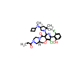 C=CC(=O)N1CCN2C(=O)c3c(N4CC(N(C)C5CCC5)CC4(C)C)nc(-c4c(O)cccc4F)c(Cl)c3OC[C@H]2C1